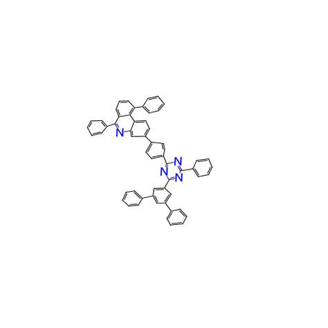 c1ccc(-c2cc(-c3ccccc3)cc(-c3nc(-c4ccccc4)nc(-c4ccc(-c5ccc6c(c5)nc(-c5ccccc5)c5cccc(-c7ccccc7)c56)cc4)n3)c2)cc1